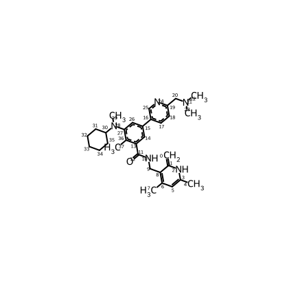 C=C1NC(C)=CC(C)=C1CNC(=O)c1cc(-c2ccc(CN(C)C)nc2)cc(N(C)C2CCCCC2)c1C